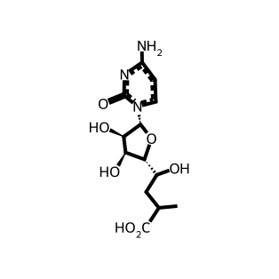 CC(CC(O)[C@H]1O[C@@H](n2ccc(N)nc2=O)[C@H](O)[C@@H]1O)C(=O)O